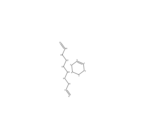 C1=CCCCC1.C=CCCCCCCC=C